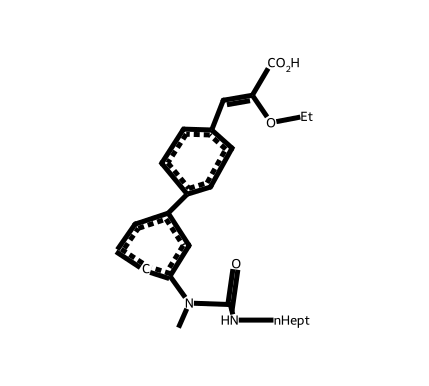 CCCCCCCNC(=O)N(C)c1cccc(-c2ccc(C=C(OCC)C(=O)O)cc2)c1